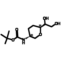 CC(C)(C)OC(=O)N[C@@H]1CC[C@@H](C(O)CO)OC1